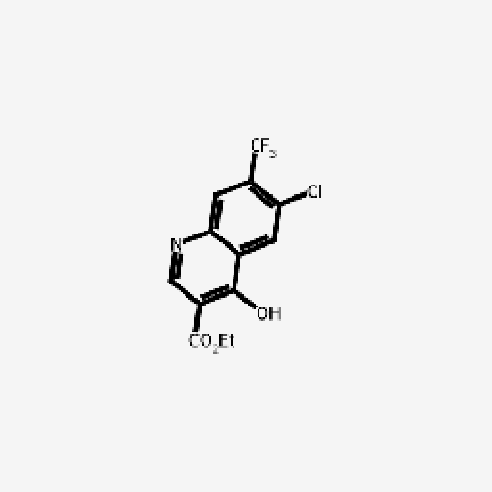 CCOC(=O)c1cnc2cc(C(F)(F)F)c(Cl)cc2c1O